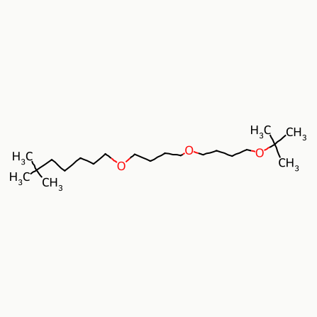 CC(C)(C)CCCCCOCCCCOCCCCOC(C)(C)C